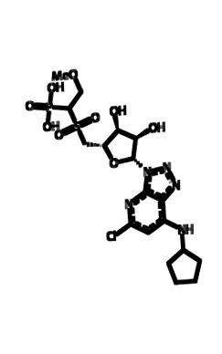 COCC(P(=O)(O)O)S(=O)(=O)C[C@H]1O[C@@H](n2nnc3c(NC4CCCC4)cc(Cl)nc32)[C@H](O)[C@@H]1O